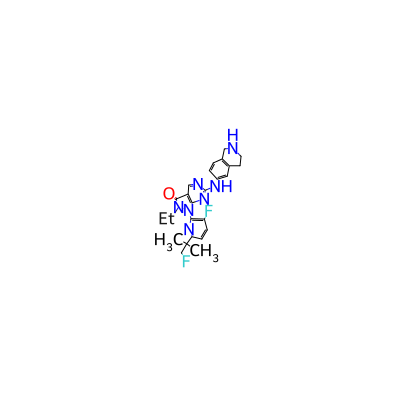 CCn1c(=O)c2cnc(Nc3ccc4c(c3)CCNC4)nc2n1-c1nc(C(C)(C)CF)ccc1F